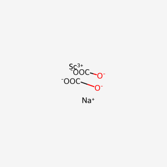 O=C([O-])[O-].O=C([O-])[O-].[Na+].[Sc+3]